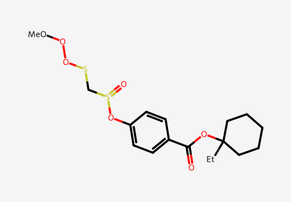 CCC1(OC(=O)c2ccc(OS(=O)CSOOOC)cc2)CCCCC1